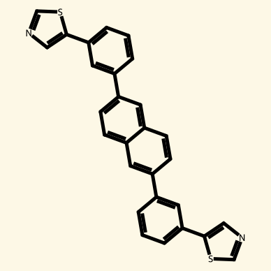 c1cc(-c2ccc3cc(-c4cccc(-c5cncs5)c4)ccc3c2)cc(-c2cncs2)c1